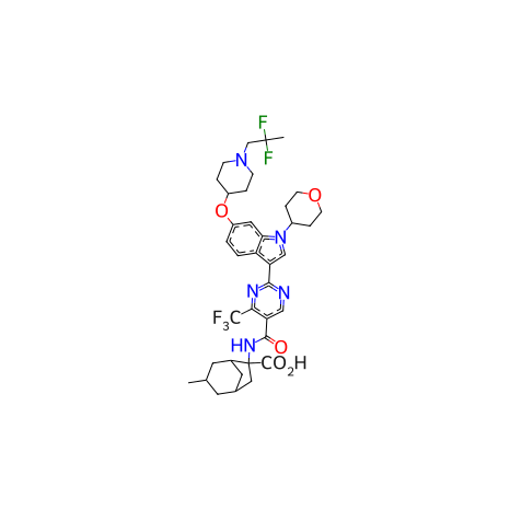 CC1CC2CC(C1)C(NC(=O)c1cnc(-c3cn(C4CCOCC4)c4cc(OC5CCN(CC(C)(F)F)CC5)ccc34)nc1C(F)(F)F)(C(=O)O)C2